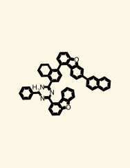 N/C(=N\C(=N/Cc1ccccc1)c1cccc2oc3ccccc3c12)c1ccc(-c2cccc3oc4cc(-c5ccc6ccccc6c5)ccc4c23)c2c1C=CCC2